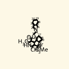 COC(=O)C1=C(C)NC(C)=C(C(=O)OCCN2Cc3ccccc3C2)C1c1ccccc1Br